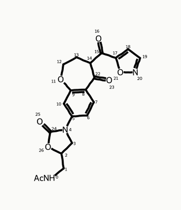 CC(=O)NCC1CN(c2ccc3c(c2)OCCC(C(=O)c2ccno2)C3=O)C(=O)O1